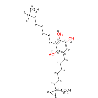 CC(C)(CCCCCCc1c(O)c(O)cc(CCCCCCC2(C(=O)O)CC2)c1O)C(=O)O